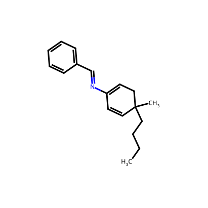 CCCCC1(C)C=CC(N=Cc2ccccc2)=CC1